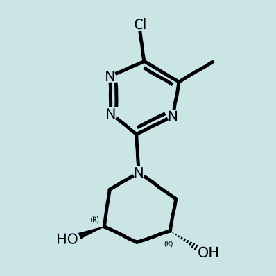 Cc1nc(N2C[C@H](O)C[C@@H](O)C2)nnc1Cl